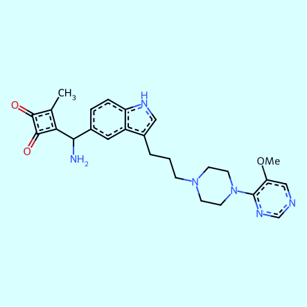 COc1cncnc1N1CCN(CCCc2c[nH]c3ccc(C(N)c4c(C)c(=O)c4=O)cc23)CC1